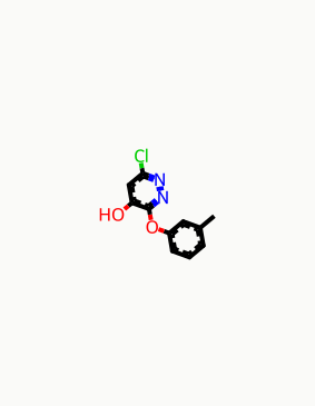 Cc1cccc(Oc2nnc(Cl)cc2O)c1